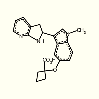 Cn1cc(C2Cc3cccnc3N2)c2cc(OC3(C(=O)O)CCC3)ccc21